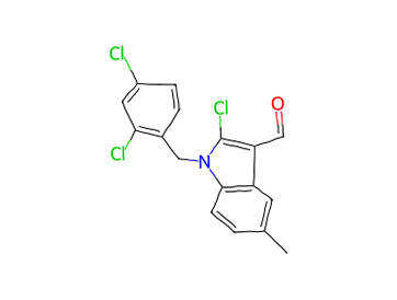 Cc1ccc2c(c1)c(C=O)c(Cl)n2Cc1ccc(Cl)cc1Cl